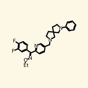 CCON=C(c1ccc(F)c(F)c1)c1ccc(CN2CCC3(CCN(c4ccccc4)C3)C2)cn1